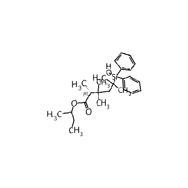 CCC(C)OC(=O)[C@H](C)C(C)(C)CC(C)(C)[Si](O)(c1ccccc1)c1ccccc1